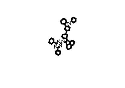 c1ccc(-c2nc(-c3ccccc3)nc(-n3c4c(c5cc(-c6ccc7c(c6)c6ccccc6n7-c6ccccc6)ccc53)-c3cccc5cccc-4c35)n2)cc1